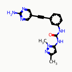 Cc1cc(NC(=O)Nc2cccc(C#Cc3cnc(N)nc3)c2)n(C)n1